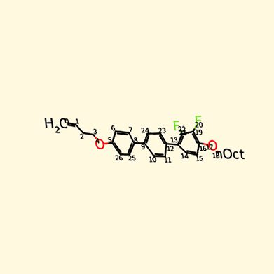 C=CCCOc1ccc(-c2ccc(-c3ccc(OCCCCCCCC)c(F)c3F)cc2)cc1